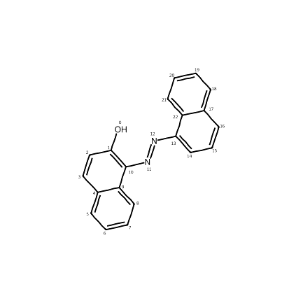 Oc1ccc2ccccc2c1N=Nc1cccc2ccccc12